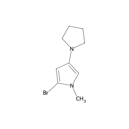 Cn1cc(N2CCCC2)cc1Br